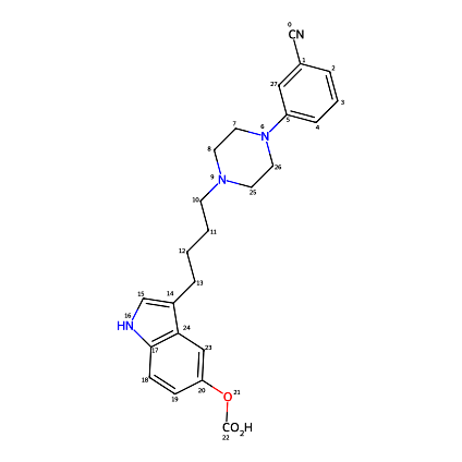 N#Cc1cccc(N2CCN(CCCCc3c[nH]c4ccc(OC(=O)O)cc34)CC2)c1